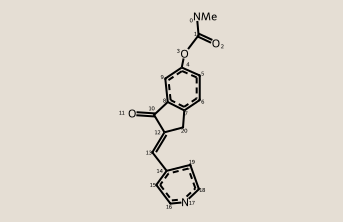 CNC(=O)Oc1ccc2c(c1)C(=O)C(=Cc1ccncc1)C2